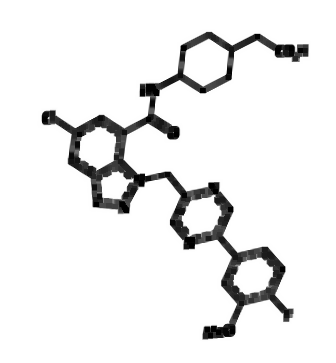 COc1cc(-c2cnc(Cn3ncc4cc(Cl)cc(C(=O)NC5CCC(CC(=O)O)CC5)c43)cn2)ccc1F